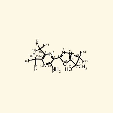 C[C@@](O)(c1nnc(-c2nc(C(F)(F)F)c(C(F)(F)F)nc2N)o1)C(F)(F)F